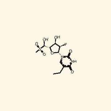 CCc1cn([C@@H]2O[C@H](C(O)S(C)(=O)=O)[C@@H](O)[C@H]2F)c(=O)[nH]c1=O